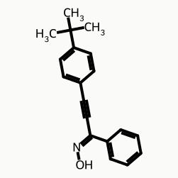 CC(C)(C)c1ccc(C#C/C(=N/O)c2ccccc2)cc1